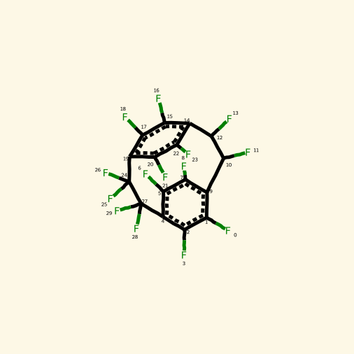 Fc1c(F)c2c(F)c(F)c1C(F)C(F)c1c(F)c(F)c(c(F)c1F)C(F)(F)C2(F)F